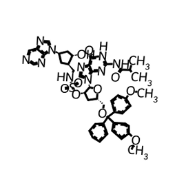 COc1ccc(C(OC[C@@H]2C[C@@H](OS(=O)(=O)NC[C@H]3C[C@@H](n4cnc5cncnc54)C[C@@H]3O)[C@H](n3cnc4c(=O)[nH]c(NC(=O)C(C)C)nc43)O2)(c2ccccc2)c2ccc(OC)cc2)cc1